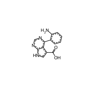 Nc1ccccc1-c1ncnc2[nH]cc(C(=O)O)c12